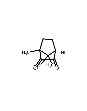 CC12CCC(C(=O)C1=O)C2(C)C.I